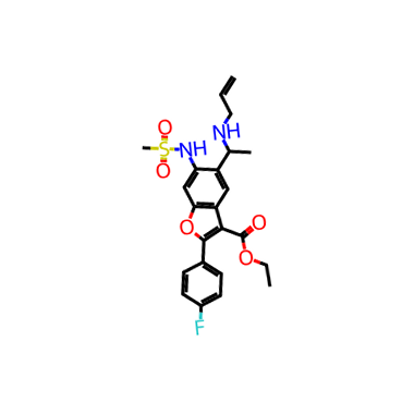 C=CCNC(C)c1cc2c(C(=O)OCC)c(-c3ccc(F)cc3)oc2cc1NS(C)(=O)=O